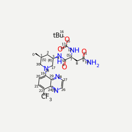 C[C@H]1C[C@@H](NC(=O)[C@H](CC(N)=O)NC(=O)OC(C)(C)C)CN(c2ccc(C(F)(F)F)c3nccnc23)C1